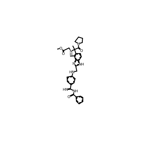 COC(=O)CNC(C)(C(=O)N1CCCC1)c1ccc2[nH]c(CNc3ccc(C(=N)NC(=O)c4ccccc4)cc3)nc2c1C